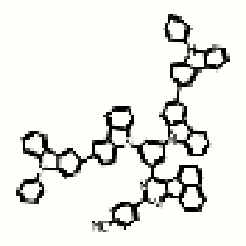 N#Cc1ccc(-c2nc(-c3cc(-n4c5ccccc5c5cc(-c6ccc7c(c6)c6ccccc6n7-c6ccccc6)ccc54)cc(-n4c5ccccc5c5cc(-c6ccc7c(c6)c6ccccc6n7-c6ccccc6)ccc54)c3)c3c(n2)-c2cccc4cccc-3c24)cc1